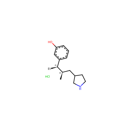 CC[C@@H](c1cccc(O)c1)[C@H](C)CC1CCNC1.Cl